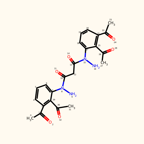 CC(=O)c1cccc(N(N)C(=O)CC(=O)N(N)c2cccc(C(C)=O)c2C(C)=O)c1C(C)=O